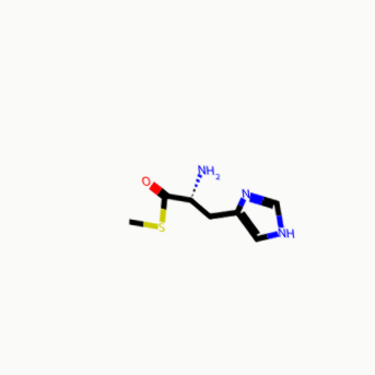 CSC(=O)[C@H](N)Cc1c[nH]cn1